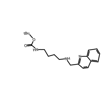 CC(C)(C)OC(=O)NCCCCNCc1ccc2ccccc2n1